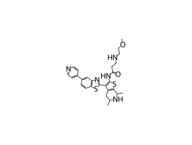 COCCNCCC(=O)Nc1sc2c(c1-c1nc3cc(-c4ccncc4)ccc3s1)CC(C)NC2C